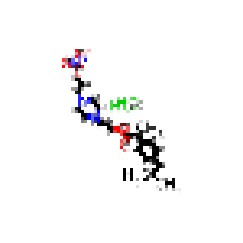 CC(C)Cc1ccc(C(C)C(=O)OCCCN2CCN(CCCO[N+](=O)[O-])CC2)cc1.Cl.Cl